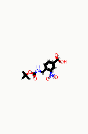 CC(C)(C)OC(=O)NCc1ccc(C(=O)O)cc1[N+](=O)[O-]